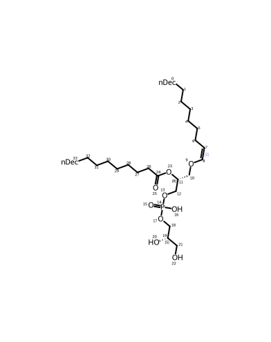 CCCCCCCCCCCCCCCC/C=C\OC[C@H](COP(=O)(O)OC[C@@H](O)CO)OC(=O)CCCCCCCCCCCCCCCCC